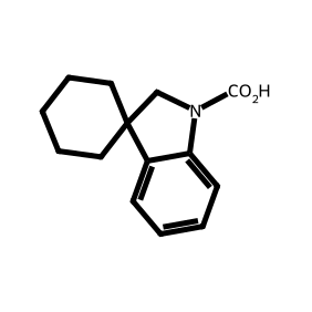 O=C(O)N1CC2(CCCCC2)c2ccccc21